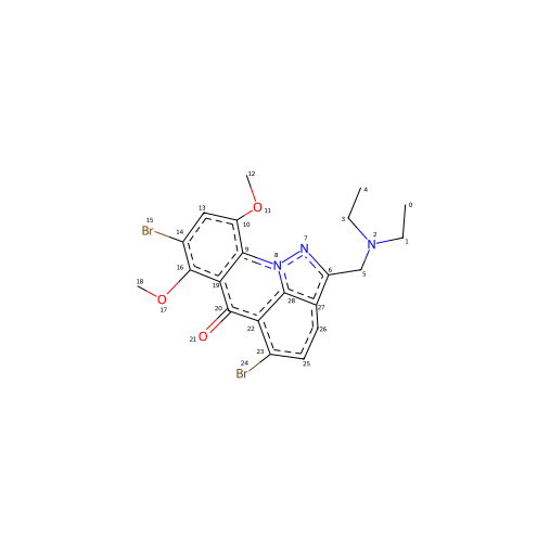 CCN(CC)Cc1nn2c3c(OC)cc(Br)c(OC)c3c(=O)c3c(Br)ccc1c32